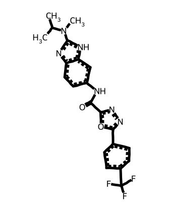 CC(C)N(C)c1nc2ccc(NC(=O)c3nnc(-c4ccc(C(F)(F)F)cc4)o3)cc2[nH]1